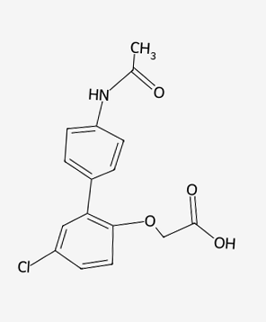 CC(=O)Nc1ccc(-c2cc(Cl)ccc2OCC(=O)O)cc1